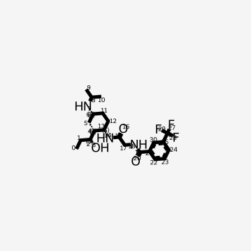 CC[C@H](O)[C@@H]1C[C@H](NC(C)C)CC[C@@H]1NC(=O)CNC(=O)c1cccc(C(F)(F)F)c1